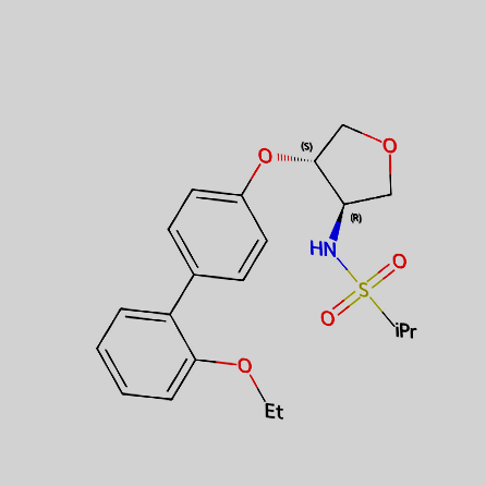 CCOc1ccccc1-c1ccc(O[C@@H]2COC[C@H]2NS(=O)(=O)C(C)C)cc1